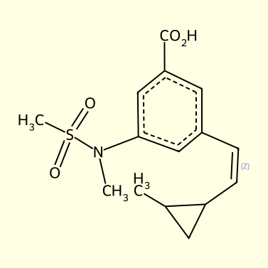 CC1CC1/C=C\c1cc(C(=O)O)cc(N(C)S(C)(=O)=O)c1